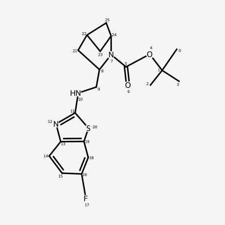 CC(C)(C)OC(=O)N1C(CNc2nc3ccc(F)cc3s2)CC2CC1C2